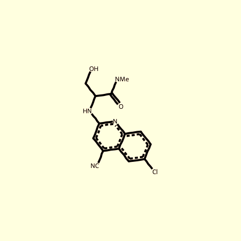 CNC(=O)C(CO)Nc1cc(C#N)c2cc(Cl)ccc2n1